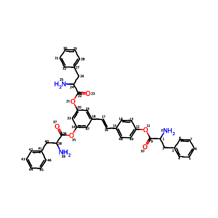 NC(Cc1ccccc1)C(=O)Oc1ccc(/C=C/c2cc(OC(=O)C(N)Cc3ccccc3)cc(OC(=O)C(N)Cc3ccccc3)c2)cc1